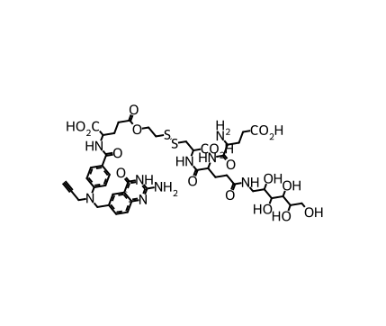 C#CCN(Cc1ccc2nc(N)[nH]c(=O)c2c1)c1ccc(C(=O)NC(CCC(=O)OCCSSCC(NC(=O)C(CCC(=O)NCC(O)C(O)C(O)C(O)CO)NC(=O)C(N)CCC(=O)O)C(=O)O)C(=O)O)cc1